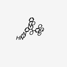 COc1cc(C(=O)C2CC(=O)N(Cc3ccccc3)c3ccc(N4CCNCC4)cc32)cc(OC)c1OC